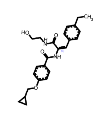 CCc1ccc(/C=C(/NC(=O)c2ccc(OCC3CC3)cc2)C(=O)NCCO)cc1